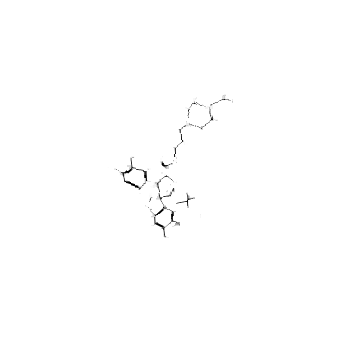 CC(C)(C)C[C@H]1N[C@@H](C(=O)NCCCN2CCN(CO)CC2)[C@H](c2ccc(F)c(Cl)c2)[C@@]12C(=O)Nc1cc(Cl)c(F)cc12